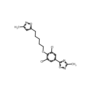 Cc1cc(CCCCCOc2c(Cl)cc(-c3nc(C)no3)cc2Cl)on1